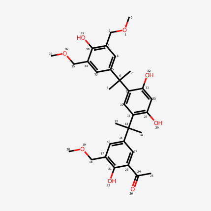 COCc1cc(C(C)(C)c2cc(C(C)(C)c3cc(COC)c(O)c(C(C)=O)c3)c(O)cc2O)cc(COC)c1O